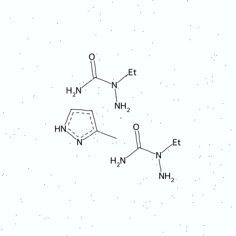 CCN(N)C(N)=O.CCN(N)C(N)=O.Cc1cc[nH]n1